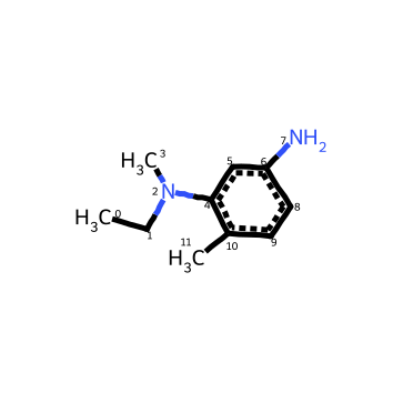 CCN(C)c1cc(N)ccc1C